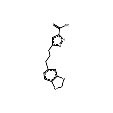 O=NC(=O)c1cc(CCCc2ccc3c(c2)OCO3)on1